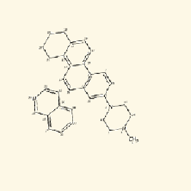 CN1CCN(c2ccc3c(ccc4c5c(ccc43)CCCC5)c2)CC1.c1ccc2cnccc2c1